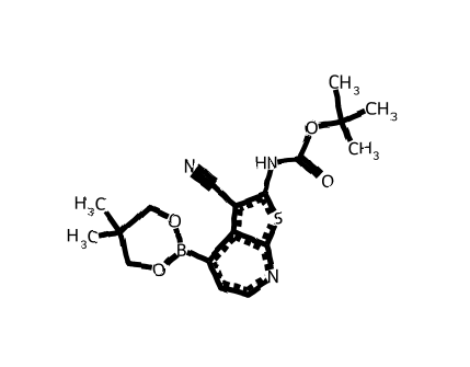 CC1(C)COB(c2ccnc3sc(NC(=O)OC(C)(C)C)c(C#N)c23)OC1